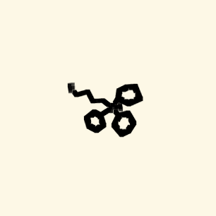 FCCCC[PH](c1ccccc1)(c1ccccc1)c1ccccc1